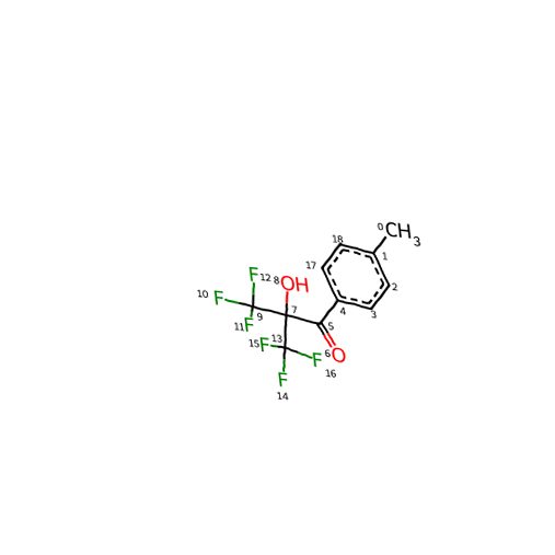 Cc1ccc(C(=O)C(O)(C(F)(F)F)C(F)(F)F)cc1